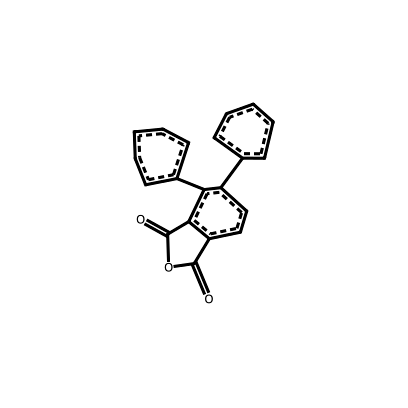 O=C1OC(=O)c2c1ccc(-c1ccccc1)c2-c1ccccc1